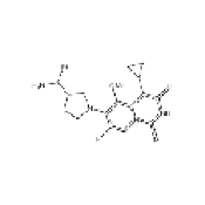 CCC(N)C1CCN(c2c(F)cn3c(=O)[nH]c(=O)c(C4CC4)c3c2OC)C1